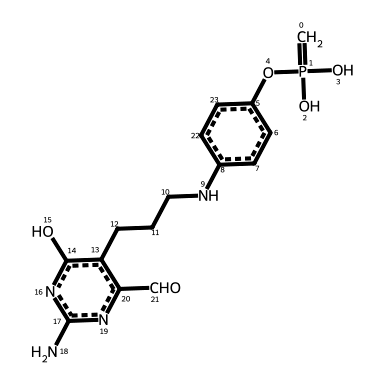 C=P(O)(O)Oc1ccc(NCCCc2c(O)nc(N)nc2C=O)cc1